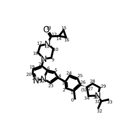 Cc1cc(-c2cc3c(N4CCN(C(=O)C5CC5)CC4)ccnn3c2)ccc1[C@@H]1CCN(C(C)C)C1